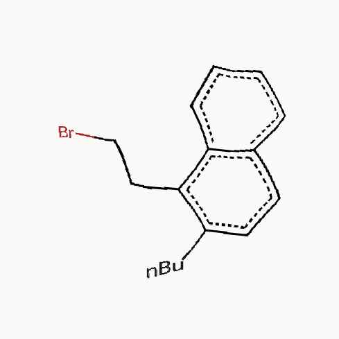 CCCCc1ccc2ccccc2c1CCBr